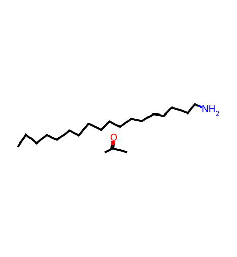 CC(C)=O.CCCCCCCCCCCCCCCCCCN